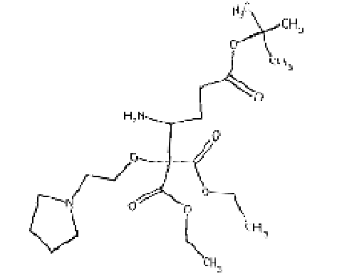 CCOC(=O)C(OCCN1CCCC1)(C(=O)OCC)C(N)CCC(=O)OC(C)(C)C